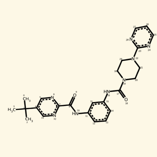 CC(C)(C)c1cnc(C(=O)Nc2cccc(NC(=O)N3CCN(c4ncccn4)CC3)c2)nc1